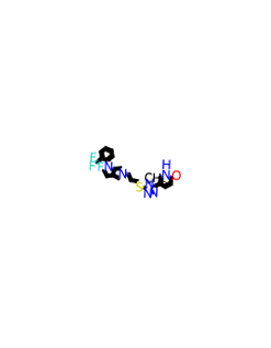 Cn1c(SCCCN2CC3CCN(c4ccccc4C(F)(F)F)C3C2)nnc1-c1ccc(=O)[nH]c1